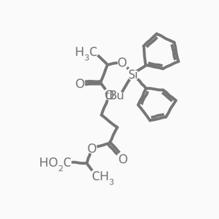 CC(OC(=O)CCOC(=O)C(C)O[Si](c1ccccc1)(c1ccccc1)C(C)(C)C)C(=O)O